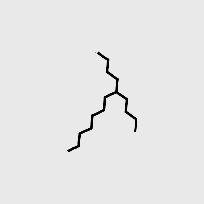 [CH2]CCCC(CCCC)CCCCCCC